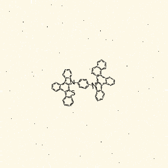 c1ccc2c(c1)ccc1c2c2ccccc2c2c3ccccc3n(-c3ccc(-n4c5ccccc5c5c6ccccc6c6c7ccccc7sc6c54)cc3)c12